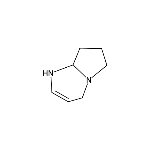 C1=CNC2CCCN2C1